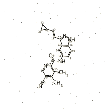 Cc1c(C#N)cnc(C(=O)Nc2ccc3[nH]nc(/C=C/C4CC4)c3c2)c1C